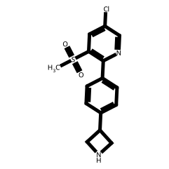 CS(=O)(=O)c1cc(Cl)cnc1-c1ccc(C2CNC2)cc1